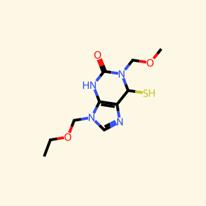 CCOCn1cnc2c1NC(=O)N(COC)C2S